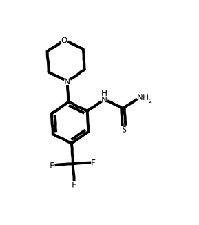 NC(=S)Nc1cc(C(F)(F)F)ccc1N1CCOCC1